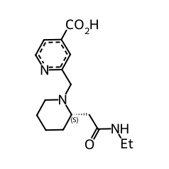 CCNC(=O)C[C@@H]1CCCCN1Cc1cc(C(=O)O)ccn1